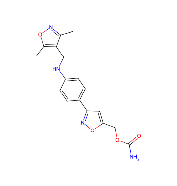 Cc1noc(C)c1CNc1ccc(-c2cc(COC(N)=O)on2)cc1